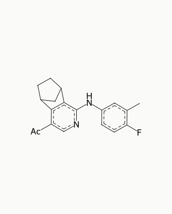 CC(=O)c1cnc(Nc2ccc(F)c(C)c2)c2c1C1CCC2C1